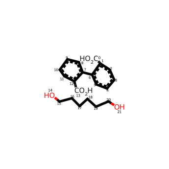 O=C(O)c1ccccc1-c1ccccc1C(=O)O.OCCCCCCO